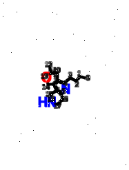 CCCCc1nc2c(c3c1CC(C)OC3)CNCC2